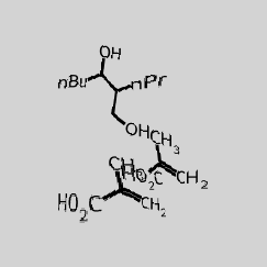 C=C(C)C(=O)O.C=C(C)C(=O)O.CCCCC(O)C(CO)CCC